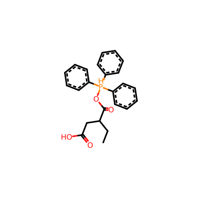 CCC(CC(=O)O)C(=O)O[PH](c1ccccc1)(c1ccccc1)c1ccccc1